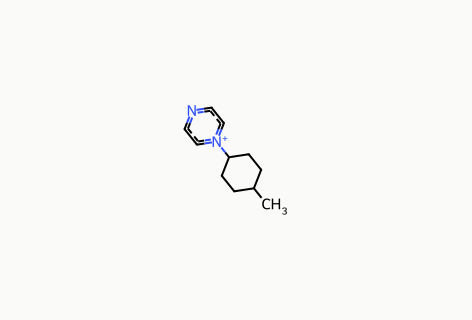 CC1CCC([n+]2ccncc2)CC1